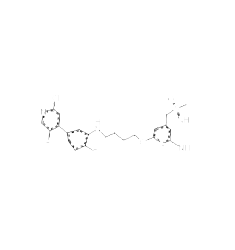 CS(=N)(=O)Cc1cc(N)nc(OCCCCNc2cc(-c3cc(Cl)ncc3F)ccc2F)c1